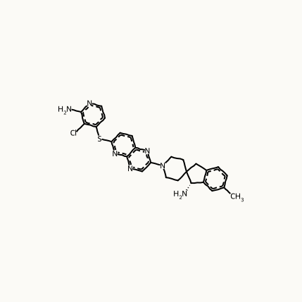 Cc1ccc2c(c1)[C@H](N)C1(CCN(c3cnc4nc(Sc5ccnc(N)c5Cl)ccc4n3)CC1)C2